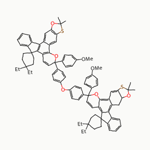 CCC1(CC)CCC2(CC1)c1ccccc1-c1c3c(c4c(c12)C=CC(c1ccc(OC)cc1)(c1ccc(Oc2ccc(C5(c6ccc(OC)cc6)C=Cc6c7c(c8cc9c(cc8c6O5)SC(C)(C)O9)-c5ccccc5C75CCC(CC)(CC)CC5)cc2)cc1)O4)C=C1SC(C)(C)OC1C3